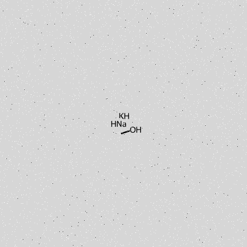 CO.[KH].[NaH]